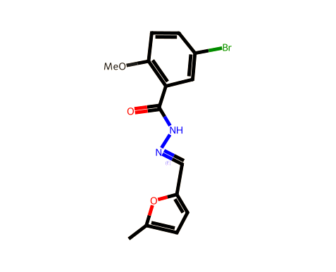 COc1ccc(Br)cc1C(=O)N/N=C/c1ccc(C)o1